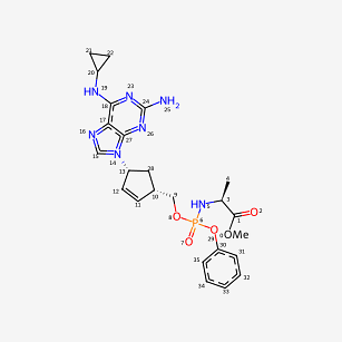 COC(=O)[C@H](C)NP(=O)(OC[C@@H]1C=C[C@H](n2cnc3c(NC4CC4)nc(N)nc32)C1)Oc1ccccc1